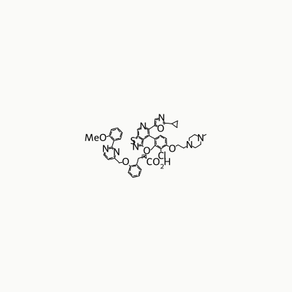 COc1ccccc1-c1nccc(COc2ccccc2C[C@@H](Oc2nsc3cnc(-c4cnc(C5CC5)o4)c(-c4ccc(OCCN5CCN(C)CC5)c(Cl)c4C)c23)C(=O)O)n1